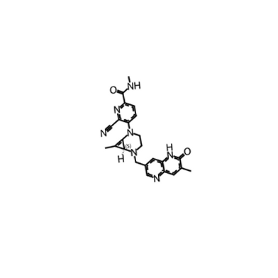 CNC(=O)c1ccc(N2CCN(Cc3cnc4cc(C)c(=O)[nH]c4c3)[C@H]3C(C)=C32)c(C#N)n1